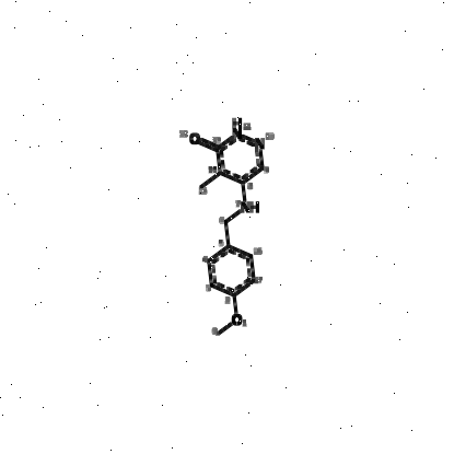 COc1ccc(CNc2cn[nH]c(=O)c2C)cc1